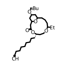 C#CCCCCCCCC[C@H]1CCOC(CC)CCCC2C[C@H](OCCCC)CC(CC(=O)O1)O2